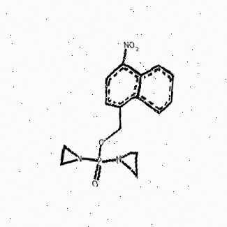 O=[N+]([O-])c1ccc(COP(=O)(N2CC2)N2CC2)c2ccccc12